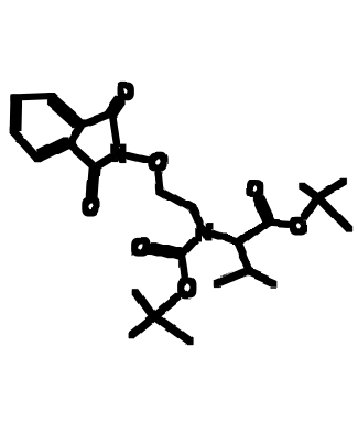 CC(C)C(C(=O)OC(C)(C)C)N(CCON1C(=O)c2ccccc2C1=O)C(=O)OC(C)(C)C